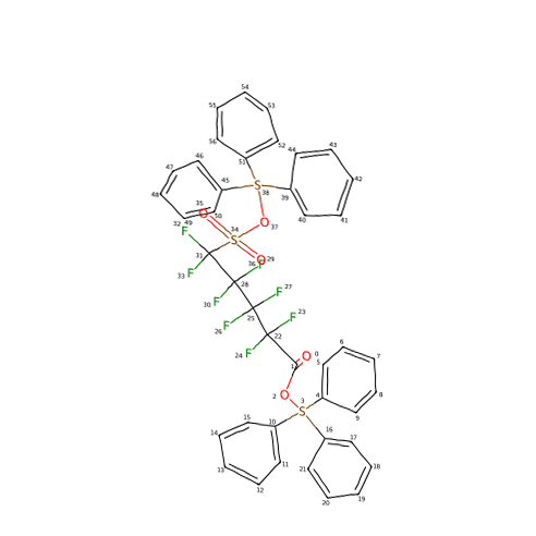 O=C(OS(c1ccccc1)(c1ccccc1)c1ccccc1)C(F)(F)C(F)(F)C(F)(F)C(F)(F)S(=O)(=O)OS(c1ccccc1)(c1ccccc1)c1ccccc1